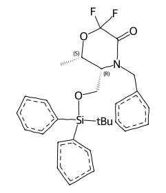 C[C@@H]1OC(F)(F)C(=O)N(Cc2ccccc2)[C@@H]1CO[Si](c1ccccc1)(c1ccccc1)C(C)(C)C